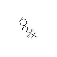 O=S(=O)(OCC1(F)CCOCC1)C(F)(F)F